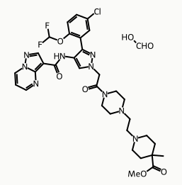 COC(=O)C1(C)CCN(CCN2CCN(C(=O)Cn3cc(NC(=O)c4cnn5cccnc45)c(-c4cc(Cl)ccc4OC(F)F)n3)CC2)CC1.O=CO